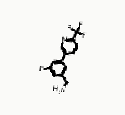 NCc1cc(F)cc(-c2ccc(C(F)(F)F)nc2)c1